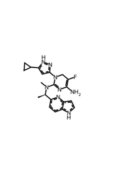 C[C@H](c1ccc2[nH]ccc2n1)N(C)C1=NC(N)=C(F)CN1c1cc(C2CC2)[nH]n1